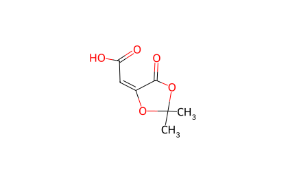 CC1(C)OC(=O)C(=CC(=O)O)O1